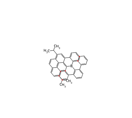 CC(C)c1ccc2ccc3c(C(C)C)cc4c5c(cc1c2c35)B(c1c(-c2ccccc2)cccc1-c1ccccc1)c1ccccc1-4